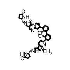 Cn1cc(CNC[C@H]2CCC(=O)N2)c2ccc(-c3cccc(-c4cccc(-c5ccn6c(=O)c(CNC[C@@H]7CCC(=O)N7)cnc6c5)c4Cl)c3Cl)nc21